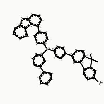 CC(C)(C)c1ccc2c(c1)C(C)(C)c1ccc(-c3ccc(N(c4ccc(-c5cccc6sc7ccccc7c56)cc4)c4cccc(-c5ccccc5)c4)cc3)cc1-2